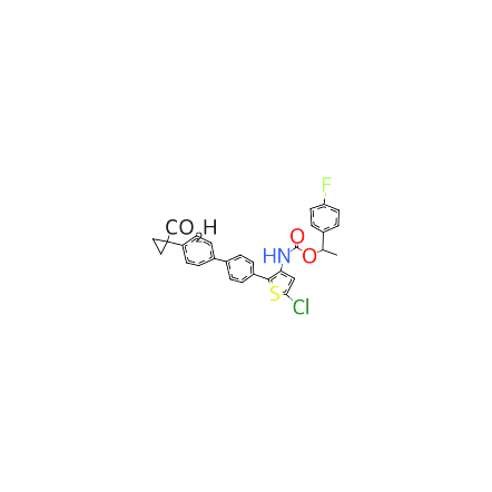 CC(OC(=O)Nc1cc(Cl)sc1-c1ccc(-c2ccc(C3(C(=O)O)CC3)cc2)cc1)c1ccc(F)cc1